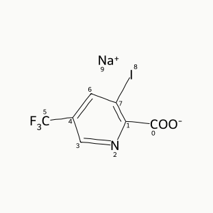 O=C([O-])c1ncc(C(F)(F)F)cc1I.[Na+]